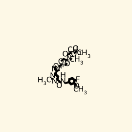 COc1cc(CNC(=O)c2cc(C3=NO[C@H]([C@H]4CO[C@@H](N(C)C(=O)[C@H](C)OC(C)=O)CO4)C3)nc(C)n2)ccc1F